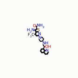 NC(=O)c1sc2nc(N3CCC(NCC(O)c4cccc5cccnc45)CC3)cc(C(F)(F)F)c2c1N